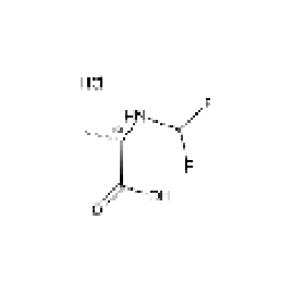 C[C@H](NC(F)F)C(=O)O.Cl